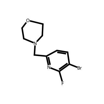 Fc1nc(CN2CCOCC2)ccc1Br